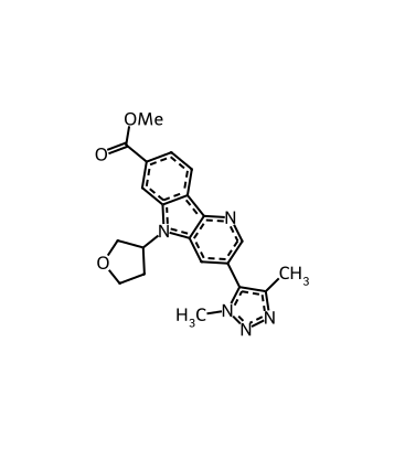 COC(=O)c1ccc2c3ncc(-c4c(C)nnn4C)cc3n(C3CCOC3)c2c1